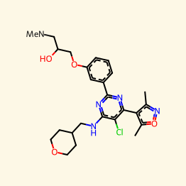 CNCC(O)COc1cccc(-c2nc(NCC3CCOCC3)c(Cl)c(-c3c(C)noc3C)n2)c1